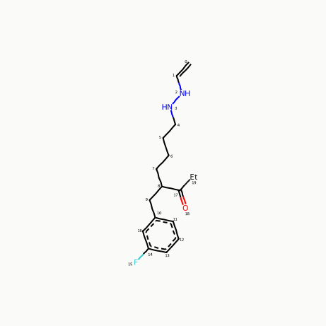 C=CNNCCCCC(Cc1cccc(F)c1)C(=O)CC